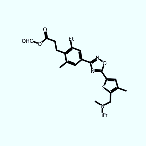 CCc1cc(-c2noc(-c3cc(C)c(CN(C)C(C)C)s3)n2)cc(C)c1CCC(=O)OC=O